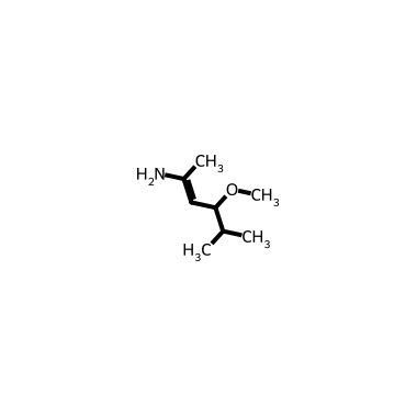 COC(/C=C(\C)N)C(C)C